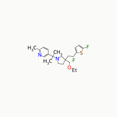 CCO[C@@H](F)C1(CCc2ccc(F)s2)CCN(C(C)(C)c2ccc(C)nc2)C1